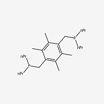 CCCP(CCC)Cc1c(C)c(C)c(CP(CCC)CCC)c(C)c1C